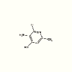 Cc1cc(O)c(N)c(Cl)n1